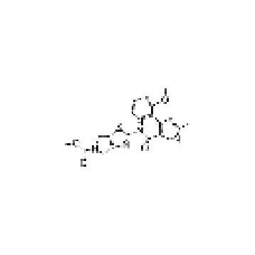 COC(=O)N1Cc2nc(NC(=O)c3cnc(C)cc3-c3ccccc3OC)sc2C1